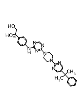 CC(C)(c1ccccc1)c1cnc(N2CCN(c3ncnc(Nc4ccc([C@@H](O)CO)cc4)n3)CC2)nc1